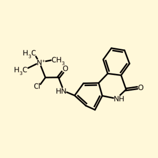 C[N+](C)(C)C(Cl)C(=O)Nc1ccc2[nH]c(=O)c3ccccc3c2c1